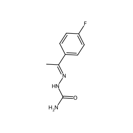 CC(=NNC(N)=O)c1ccc(F)cc1